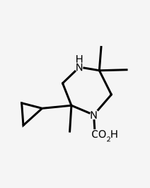 CC1(C)CN(C(=O)O)C(C)(C2CC2)CN1